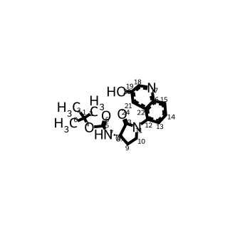 CC(C)(C)OC(=O)N[C@H]1CCN(c2cccc3ncc(O)cc23)C1=O